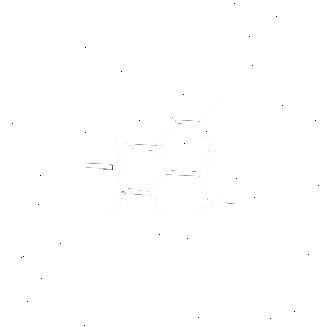 Cc1cc([N+](=O)[O-])c2c(n1)[nH]c(=O)c(=O)n2O